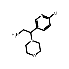 NCC(c1ccc(Cl)nc1)N1CCOCC1